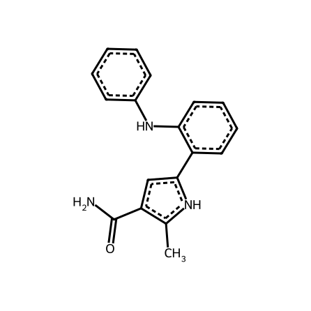 Cc1[nH]c(-c2ccccc2Nc2ccccc2)cc1C(N)=O